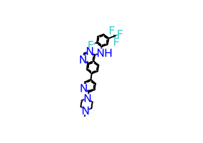 CN1CCN(c2ccc(-c3ccc4c(Nc5cc(C(F)(F)F)ccc5F)ncnc4c3)cn2)CC1